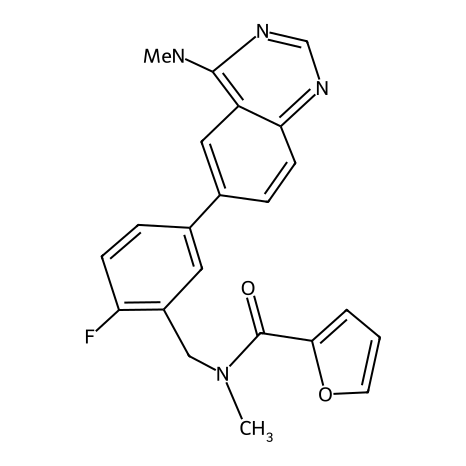 CNc1ncnc2ccc(-c3ccc(F)c(CN(C)C(=O)c4ccco4)c3)cc12